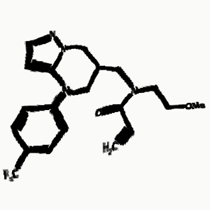 C=CC(=O)N(CCOC)CC1CN(c2ccc(C(F)(F)F)cc2)c2ccnn2C1